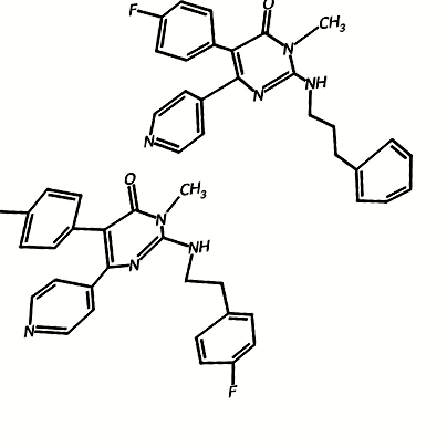 Cn1c(NCCCc2ccccc2)nc(-c2ccncc2)c(-c2ccc(F)cc2)c1=O.Cn1c(NCCc2ccc(F)cc2)nc(-c2ccncc2)c(-c2ccc(F)cc2)c1=O